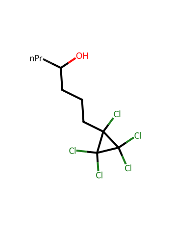 CCCC(O)CCCC1(Cl)C(Cl)(Cl)C1(Cl)Cl